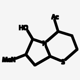 CNC1CC2SCCC(C(C)=O)N2C1O